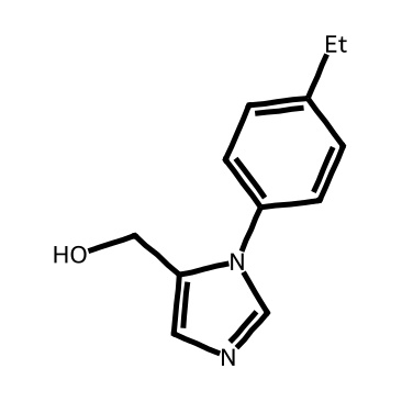 CCc1ccc(-n2cncc2CO)cc1